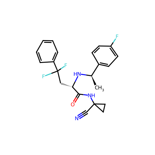 C[C@@H](N[C@@H](CC(F)(F)c1ccccc1)C(=O)NC1(C#N)CC1)c1ccc(F)cc1